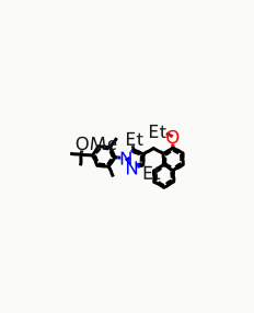 CCOc1ccc2ccccc2c1Cc1c(CC)nn(-c2c(C)cc(C(C)(C)OC)cc2C)c1CC